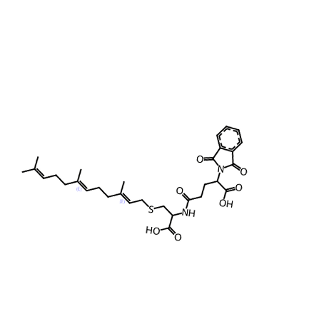 CC(C)=CCC/C(C)=C/CC/C(C)=C/CSCC(NC(=O)CCC(C(=O)O)N1C(=O)c2ccccc2C1=O)C(=O)O